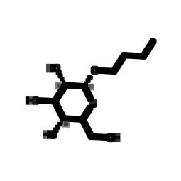 CCCCO[C@@H]1OC(CO)[C@H](O)C(O)[C@@H]1O